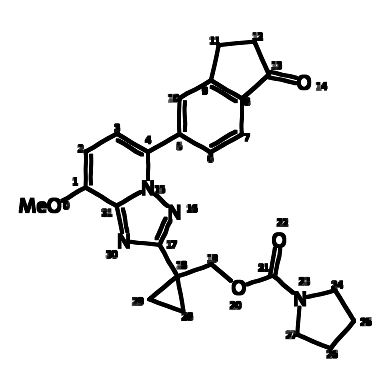 COc1ccc(-c2ccc3c(c2)CCC3=O)n2nc(C3(COC(=O)N4CCCC4)CC3)nc12